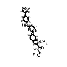 Cn1c(C(=O)NCC(F)(F)F)cc2c1CN(c1nccc(Nc3ccc(-c4cn[nH]c4)cc3)n1)CC2